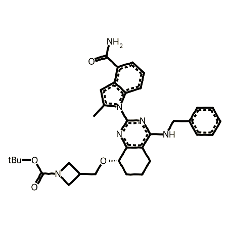 Cc1cc2c(C(N)=O)cccc2n1-c1nc(NCc2ccccc2)c2c(n1)[C@@H](OCC1CN(C(=O)OC(C)(C)C)C1)CCC2